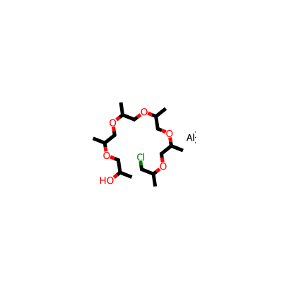 CC(O)COC(C)COC(C)COC(C)COC(C)COC(C)CCl.[Al]